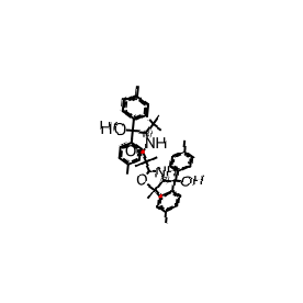 Cc1ccc(C(O)(c2ccc(C)cc2)[C@H](NC(=O)C(C)(C)C(=O)N[C@H](C(C)(C)C)C(O)(c2ccc(C)cc2)c2ccc(C)cc2)C(C)(C)C)cc1